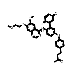 COCCOc1cc2ncnc(Nc3ccc(Oc4ccc(CCC(C)=O)cc4)cc3C3=CC(=O)C=CC3=O)c2cc1OC